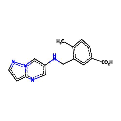 Cc1ccc(C(=O)O)cc1CNc1cnc2ccnn2c1